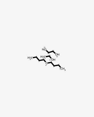 CCCCOCCCC.CCO.OCCO